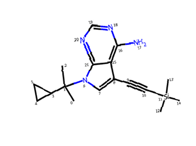 CC(C)(C1CC1)n1cc(C#C[Si](C)(C)C)c2c(N)ncnc21